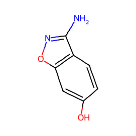 Nc1noc2cc(O)ccc12